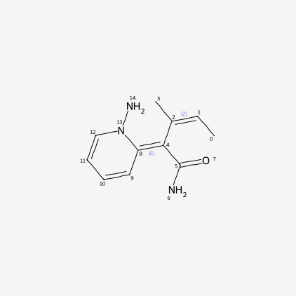 C/C=C(C)\C(C(N)=O)=C1\C=CC=CN1N